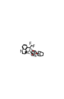 N#Cc1ccc(N2C3CCC2CN(C(=O)COC(c2cccc4ncccc24)C(F)F)C3)nc1